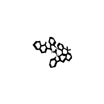 CC1C(c2nc(-n3c4ccccc4c4cc5cccc6c5c(c43)-c3ccccc3C6(C)C)nc3ccccc23)=CC=C2C=CCCC21